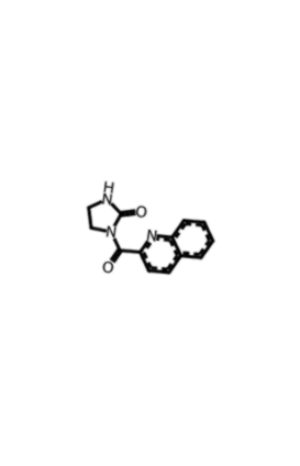 O=C1NCCN1C(=O)c1ccc2ccccc2n1